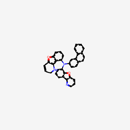 C1=Cc2oc3cccc(N(c4ccc5ccc6ccccc6c5c4)c4cccc5c4oc4cccnc45)c3c2NC1